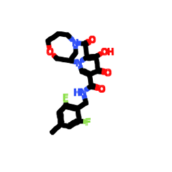 Cc1cc(F)c(CNC(=O)c2cn3c(c(O)c2=O)C(=O)N2CCCOCC3C2)c(F)c1